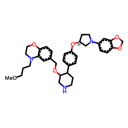 COCCCN1CCOc2ccc(COC3CNCCC3c3ccc(O[C@H]4CCN(c5ccc6c(c5)OCO6)C4)cc3)cc21